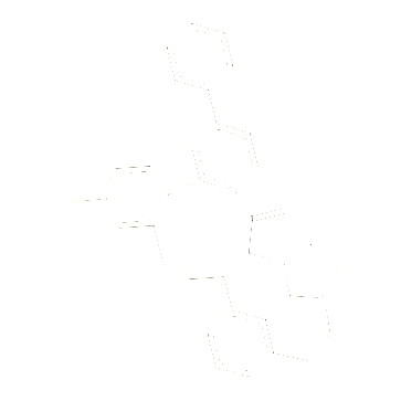 C=C1C2C(CCc3cc(F)cc(F)c3-c3cc(-c4ccccc4)c(C)c[n+]31)c1cccc3c1C1N(C=CN21)CC3